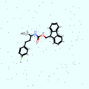 O=C(NC(CCc1ccc(F)cc1)C(=O)O)OCC1c2ccccc2-c2ccccc21